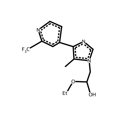 CCOC(O)Cn1cnc(-c2ccnc(C(F)(F)F)c2)c1C